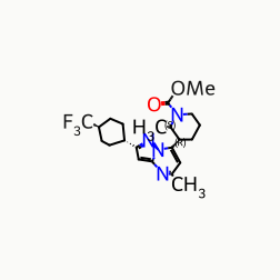 COC(=O)N1CCC[C@@H](c2cc(C)nc3cc([C@H]4CC[C@H](C(F)(F)F)CC4)nn23)[C@@H]1C